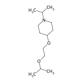 CC(C)OCCOC1CCN(C(C)C)CC1